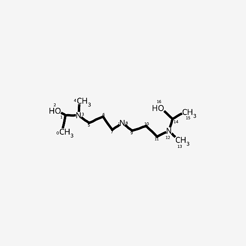 CC(O)N(C)CCC[N]CCCN(C)C(C)O